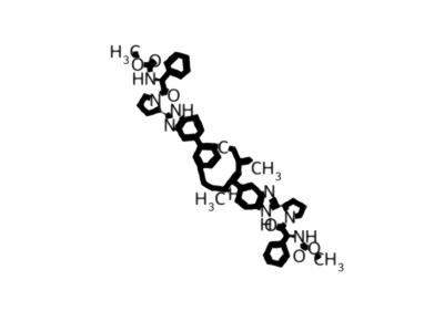 C/C=C1\C=C(\c2ccc3[nH]c([C@@H]4CCCN4C(=O)[C@@H](NC(=O)OC)c4ccccc4)nc3c2)[C@H](C)CCc2ccc(c(-c3ccc4[nH]c([C@@H]5CCCN5C(=O)[C@@H](NC(=O)OC)c5ccccc5)nc4c3)c2)CC1